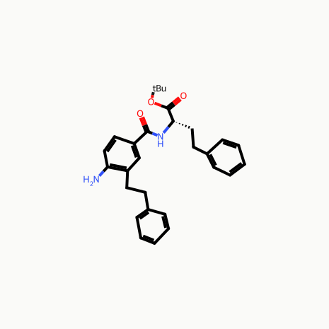 CC(C)(C)OC(=O)[C@H](CCc1ccccc1)NC(=O)c1ccc(N)c(CCc2ccccc2)c1